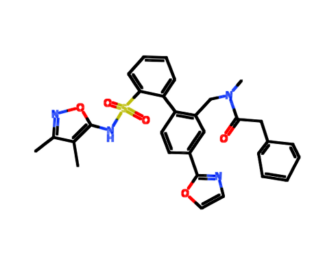 Cc1noc(NS(=O)(=O)c2ccccc2-c2ccc(-c3ncco3)cc2CN(C)C(=O)Cc2ccccc2)c1C